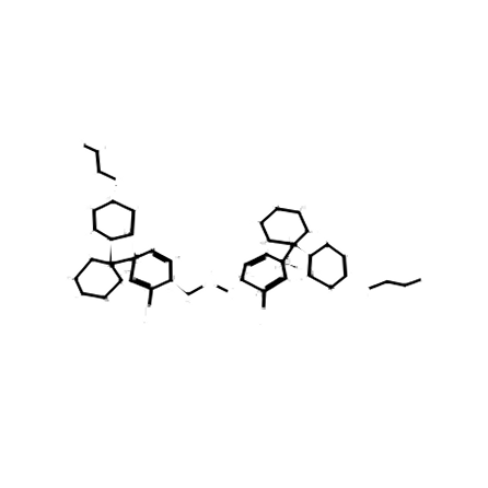 CCCC[C@H]1CC[C@H](C2([C@@]3(F)C=C[C@@H](COC[C@@H]4C=C[C@](F)(C5([C@H]6CC[C@H](CCCC)CC6)CCCCC5)C=C4F)C(F)=C3)CCCCC2)CC1